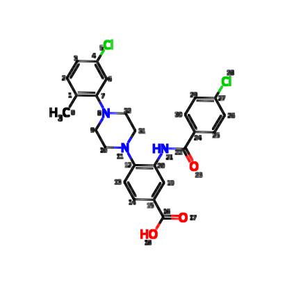 Cc1ccc(Cl)cc1N1CCN(c2ccc(C(=O)O)cc2NC(=O)c2ccc(Cl)cc2)CC1